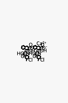 Cc1cc(S(=O)(=O)O)c(N=Nc2c(O)c(C(=O)[O-])cc3ccccc23)cc1Cl.Cc1cc(S(=O)(=O)O)c(N=Nc2c(O)c(C(=O)[O-])cc3ccccc23)cc1Cl.[Ca+2]